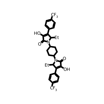 CCC1C(c2ccc(C(F)(F)F)cc2)=C(O)C(=O)N1C1CCC(N2C(=O)C(O)=C(c3ccc(C(F)(F)F)cc3)C2CC)CC1